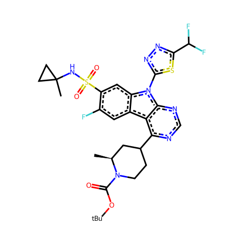 C[C@H]1CC(c2ncnc3c2c2cc(F)c(S(=O)(=O)NC4(C)CC4)cc2n3-c2nnc(C(F)F)s2)CCN1C(=O)OC(C)(C)C